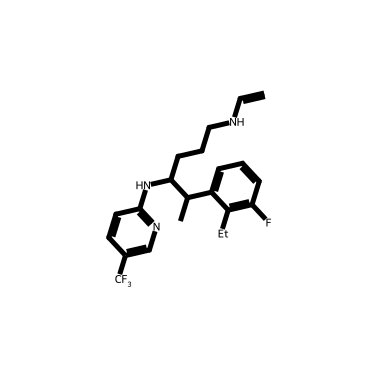 C=CNCCCC(Nc1ccc(C(F)(F)F)cn1)C(C)c1cccc(F)c1CC